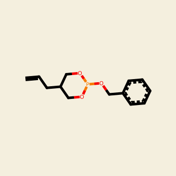 C=CCC1COP(OCc2ccccc2)OC1